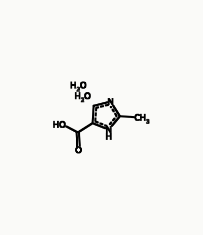 Cc1ncc(C(=O)O)[nH]1.O.O